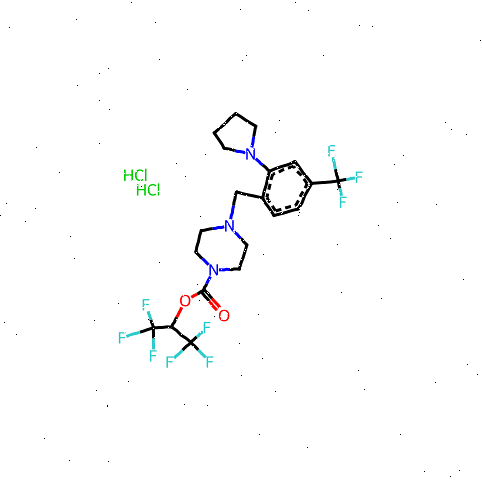 Cl.Cl.O=C(OC(C(F)(F)F)C(F)(F)F)N1CCN(Cc2ccc(C(F)(F)F)cc2N2CCCC2)CC1